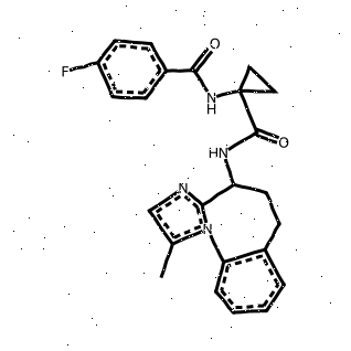 Cc1cnc2n1-c1ccccc1CCC2NC(=O)C1(NC(=O)c2ccc(F)cc2)CC1